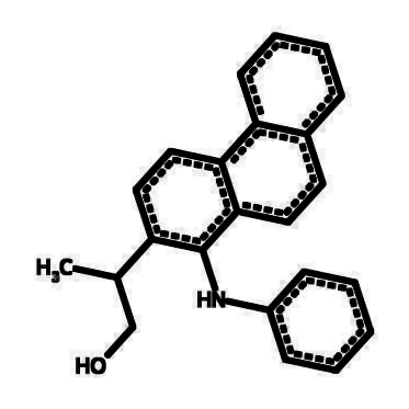 CC(CO)c1ccc2c(ccc3ccccc32)c1Nc1ccccc1